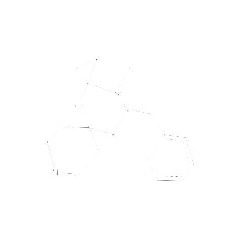 O=C1N(Cc2ccccc2)CC2(CCNCC2)OC12CC2